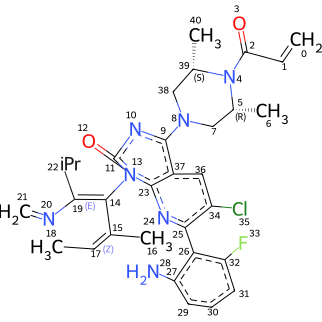 C=CC(=O)N1[C@H](C)CN(c2nc(=O)n(C(/C(C)=C\C)=C(/N=C)C(C)C)c3nc(-c4c(N)cccc4F)c(Cl)cc23)C[C@@H]1C